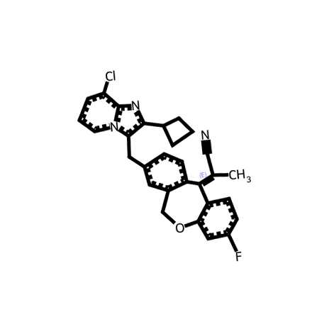 C/C(C#N)=C1/c2ccc(Cc3c(C4CCC4)nc4c(Cl)cccn34)cc2COc2cc(F)ccc21